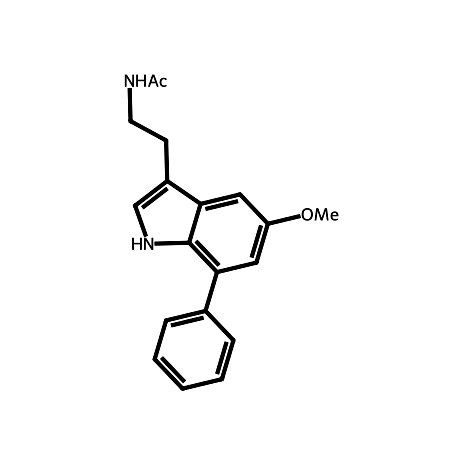 COc1cc(-c2ccccc2)c2[nH]cc(CCNC(C)=O)c2c1